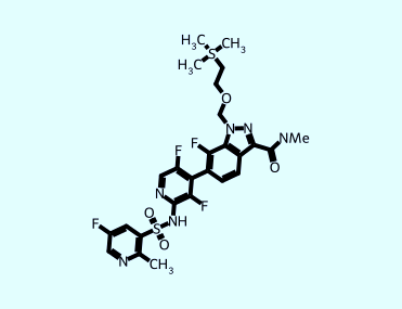 CNC(=O)c1nn(COCCS(C)(C)C)c2c(F)c(-c3c(F)cnc(NS(=O)(=O)c4cc(F)cnc4C)c3F)ccc12